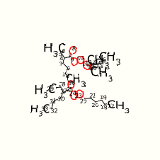 CCCCC(CC)C(=O)OOOC(C)(C)CC.CCCCCCOOC(=O)C(CC)CCCC